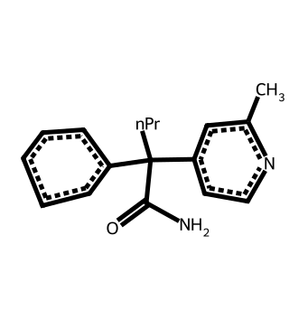 CCCC(C(N)=O)(c1ccccc1)c1ccnc(C)c1